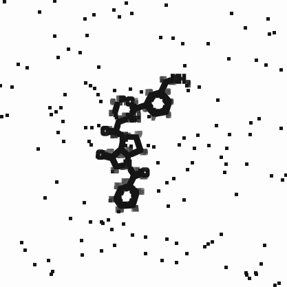 CC(C)C[C@H](NC(=O)c1cccc(CN)c1)C(=O)N1CCC2C1C(=O)CN2C(=O)c1ccccc1